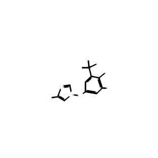 Cc1cn(Oc2cc(C)c(F)c(C(F)(F)F)c2)cn1